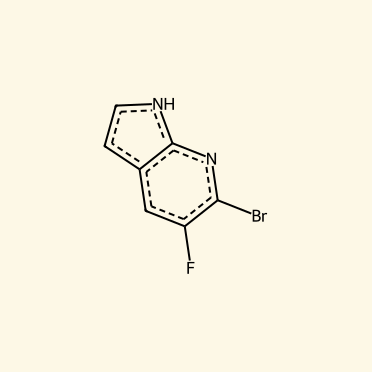 Fc1cc2cc[nH]c2nc1Br